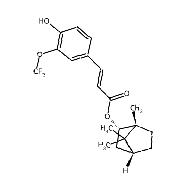 CC1(C)[C@@H]2CC[C@@]1(C)[C@@H](OC(=O)/C=C/c1ccc(O)c(OC(F)(F)F)c1)C2